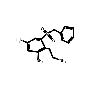 NCCc1c(N)cc(N)cc1S(=O)(=O)Cc1ccccc1